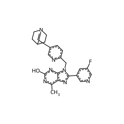 Cc1nc(O)nc2c1nc(-c1cncc(F)c1)n2Cc1ccc(C2=CN3CCC2CC3)cn1